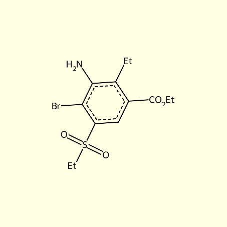 CCOC(=O)c1cc(S(=O)(=O)CC)c(Br)c(N)c1CC